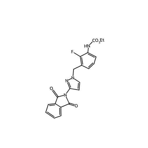 CCOC(=O)Nc1cccc(Cn2ccc(N3C(=O)c4ccccc4C3=O)n2)c1F